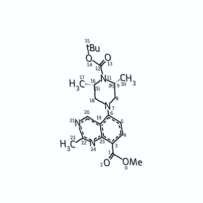 COC(=O)c1ccc(N2C[C@@H](C)N(C(=O)OC(C)(C)C)[C@@H](C)C2)c2cnc(C)nc12